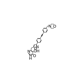 O=c1[nH]cnc(Cc2cc(-c3ccc(C#Cc4ccc(CN5CCOCC5)cc4)cc3)no2)c1O